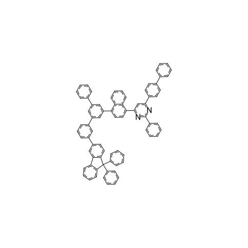 c1ccc(-c2ccc(-c3cc(-c4ccc(-c5cc(-c6ccccc6)cc(-c6cccc(-c7ccc8c(c7)-c7ccccc7C8(c7ccccc7)c7ccccc7)c6)c5)c5ccccc45)nc(-c4ccccc4)n3)cc2)cc1